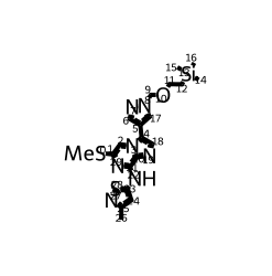 CSc1cn2c(-c3cnn(COCC[Si](C)(C)C)c3)cnc2c(Nc2cc(C)ns2)n1